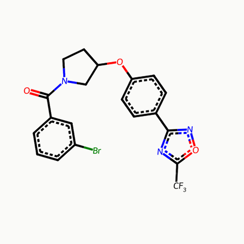 O=C(c1cccc(Br)c1)N1CCC(Oc2ccc(-c3noc(C(F)(F)F)n3)cc2)C1